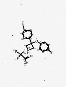 Fc1ccc(OC2(c3ccc(F)cn3)CNC2)cc1.O=C(O)C(F)(F)F